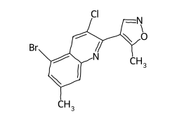 Cc1cc(Br)c2cc(Cl)c(-c3cnoc3C)nc2c1